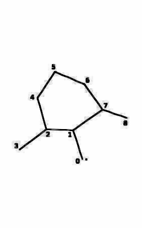 [CH2]C1C(C)CCCC1C